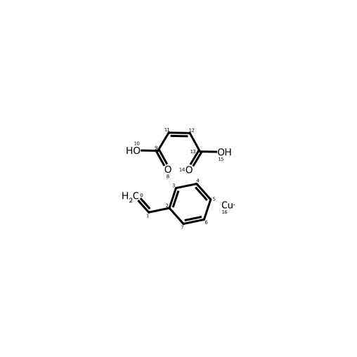 C=Cc1ccccc1.O=C(O)/C=C\C(=O)O.[Cu]